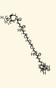 CO[C@H]1C#CCCN(C(=O)CCCC(=O)NCCCOCCOCCOCCCNC(=O)CCCC[C@@H]2SC[C@@H]3NC(=O)N[C@@H]32)C[C@@H]1C